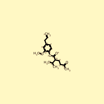 C=CCc1ccc(OC(=O)C(CCC(C)=O)C(C)C)c(OC)c1